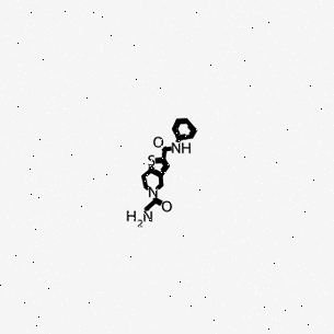 NCC(=O)N1CCc2sc(C(=O)Nc3ccccc3)cc2C1